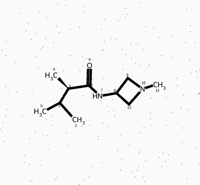 CC(C)[C@@H](C)C(=O)NC1CN(C)C1